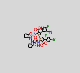 N#Cc1cc(-c2csc(NC(=O)c3nc4ccccc4o3)c2C(=O)O)ccc1F.O=C(Nc1scc(-c2ccc(Br)cc2F)c1C(=O)O)c1nc2ccccc2o1